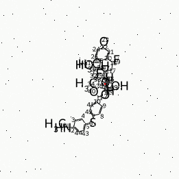 CNc1ccc(Sc2ccc([C@H]3O[C@@H]4C[C@H]5[C@@H]6C[C@H](F)C7=CC(=O)C=C[C@]7(C)[C@@]6(F)[C@@H](O)C[C@]5(C)[C@]4(C(=O)CO)O3)cc2)cc1